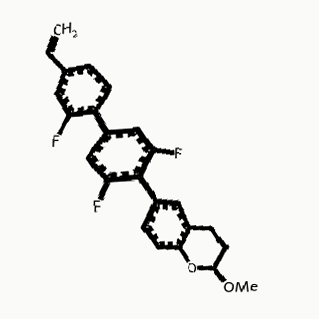 C=Cc1ccc(-c2cc(F)c(-c3ccc4c(c3)CCC(OC)O4)c(F)c2)c(F)c1